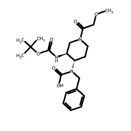 COCC(=O)N1CC[C@H](N(Cc2ccccc2)C(=O)O)[C@@H](NC(=O)OC(C)(C)C)C1